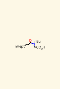 CCCCCCCCCC(=O)N(CCCC)CC(=O)O